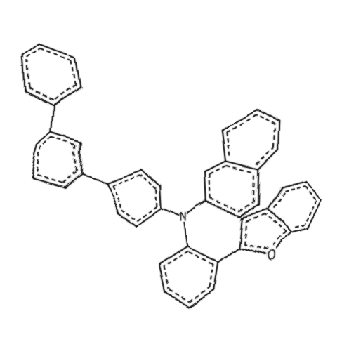 c1ccc(-c2cccc(-c3ccc(N(c4ccc5ccccc5c4)c4ccccc4-c4cc5ccccc5o4)cc3)c2)cc1